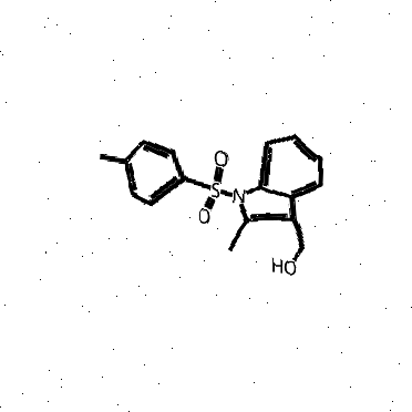 Cc1ccc(S(=O)(=O)n2c(C)c(CO)c3ccccc32)cc1